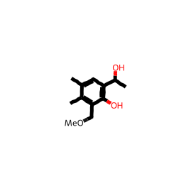 COCc1c(C)c(C)cc(C(C)O)c1O